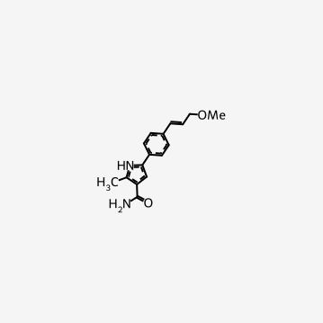 COCC=Cc1ccc(-c2cc(C(N)=O)c(C)[nH]2)cc1